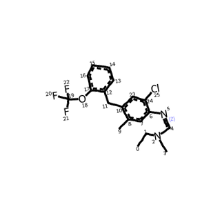 CCN(C)/C=N\c1cc(C)c(Cc2ccccc2OC(F)(F)F)cc1Cl